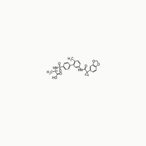 Cc1ccc(NC(=O)C2(c3ccc4c(c3)OCO4)CC2)cc1-c1ccc(S(=O)(=O)N[C@H](C)C(=O)O)cc1